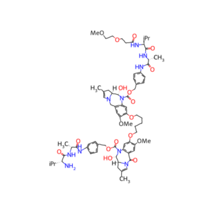 COCCOCCC(=O)N[C@H](C(=O)N[C@H](C)C(=O)Nc1ccc(COC(=O)N2c3cc(OCCCCCOc4cc5c(cc4OC)C(=O)N4C=C(C)C[C@H]4[C@H](O)N5C(=O)OCc4ccc(NC(=O)[C@@H](C)NC(=O)[C@H](N)C(C)C)cc4)c(OC)cc3CN3C=C(C)C[C@H]3[C@@H]2O)cc1)C(C)C